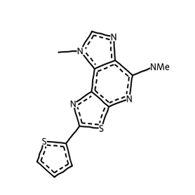 CNc1nc2sc(-c3cccs3)nc2c2c1ncn2C